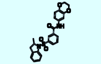 CC1Cc2ccccc2N1S(=O)(=O)c1cccc(C(=O)Nc2ccc3c(c2)OCCO3)c1